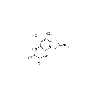 Cl.NC1Cc2c([N+](=O)[O-])cc3[nH]c(=O)c(=O)[nH]c3c2C1